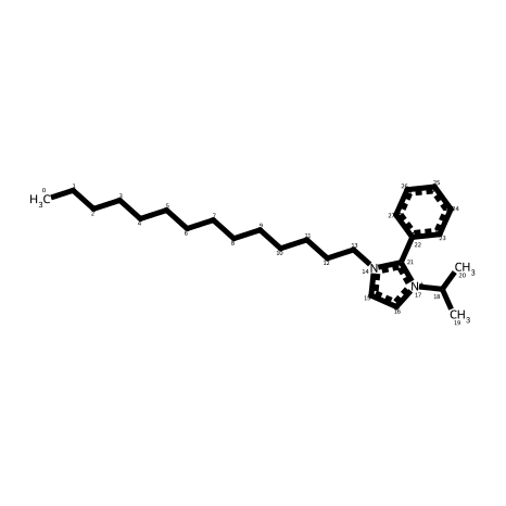 CCCCCCCCCCCCCCn1cc[n+](C(C)C)c1-c1ccccc1